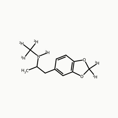 [2H]N(C(C)Cc1ccc2c(c1)OC([2H])([2H])O2)C([2H])([2H])[2H]